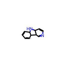 [C]1=CC=CC2NC3C=CN=CC3C12